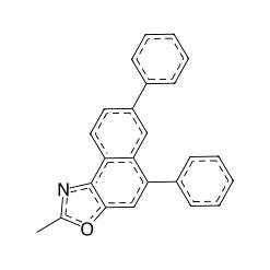 Cc1nc2c(cc(-c3ccccc3)c3cc(-c4ccccc4)ccc32)o1